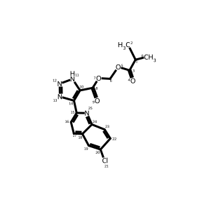 CC(C)C(=O)OCOC(=O)c1[nH]nnc1-c1ccc2cc(Cl)ccc2n1